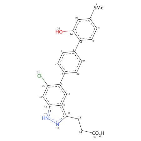 CSc1ccc(-c2ccc(-c3cc4c(CCC(=O)O)n[nH]c4cc3Cl)cc2)c(O)c1